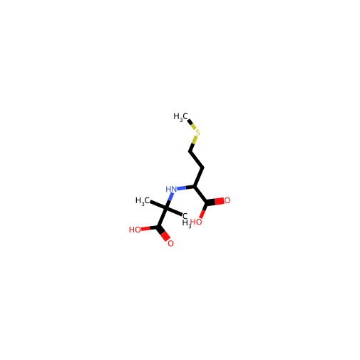 CSCCC(NC(C)(C)C(=O)O)C(=O)O